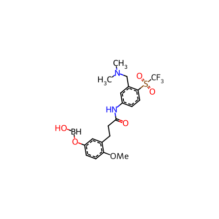 COc1ccc(OBO)cc1CCC(=O)Nc1ccc(S(=O)(=O)C(F)(F)F)c(CN(C)C)c1